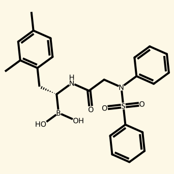 Cc1ccc(C[C@H](NC(=O)CN(c2ccccc2)S(=O)(=O)c2ccccc2)B(O)O)c(C)c1